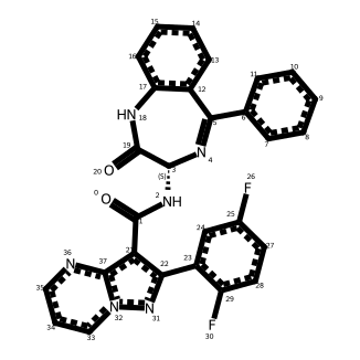 O=C(N[C@H]1N=C(c2ccccc2)c2ccccc2NC1=O)c1c(-c2cc(F)ccc2F)nn2cccnc12